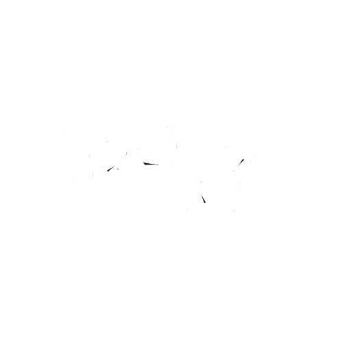 C[C@H]1C2=CC[C@@H]3[C@H](CC[C@]4(C)C(=O)CC[C@@H]34)[C@@]2(CO)[C@@H](C)C[C@@]1(O)CC(=O)O